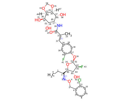 CC/C(=N/OCc1ccccc1Cl)[C@H]1O[C@@H](Oc2ccc(/C=C(\C)C(=O)N[C@@H]3[C@H](O)[C@@H](O)[C@H]4OCO[C@H]4[C@@H]3O)cc2F)[C@@H](F)[C@@H]1O